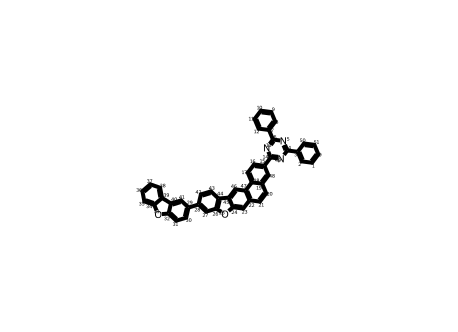 c1ccc(-c2nc(-c3ccccc3)nc(-c3ccc4c(ccc5cc6oc7cc(-c8ccc9oc%10ccccc%10c9c8)ccc7c6cc54)c3)n2)cc1